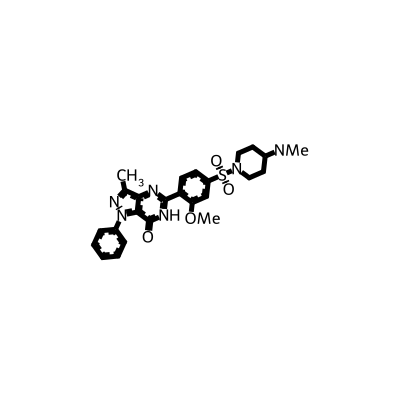 CNC1CCN(S(=O)(=O)c2ccc(-c3nc4c(C)nn(-c5ccccc5)c4c(=O)[nH]3)c(OC)c2)CC1